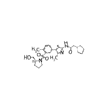 Cc1ccc(-c2sc(NC(=O)CC3CCCC3)nc2C)cc1S(=O)(=O)N1CCC[C@H]1CO